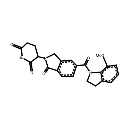 COc1cccc2c1N(C(=O)c1ccc3c(c1)CN(C1CCC(=O)NC1=O)C3=O)CC2